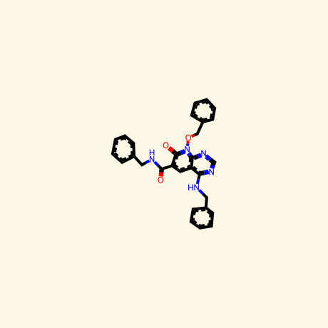 O=C(NCc1ccccc1)c1cc2c(NCc3ccccc3)ncnc2n(OCc2ccccc2)c1=O